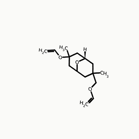 C=COCC1(C)CC2CC(C)(OC=C)C[C@H](C1)O2